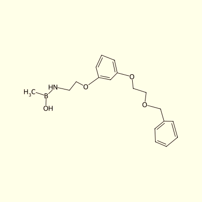 CB(O)NCCOc1cccc(OCCOCc2ccccc2)c1